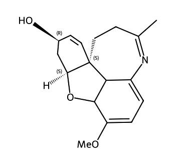 COC1=CC=C2N=C(C)CC[C@@]34C=C[C@H](O)C[C@@H]3OC1C24